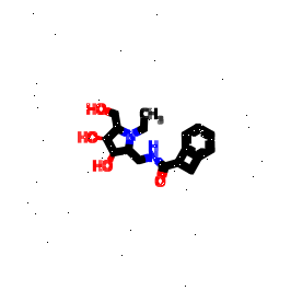 CCN1C(CO)[C@@H](O)[C@H](O)C1CNC(=O)C1Cc2ccccc21